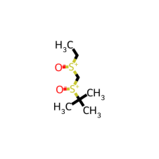 CC[S+]([O-])C[S+]([O-])C(C)(C)C